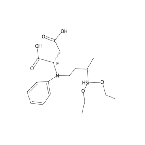 CCO[SiH](OCC)C(C)CCN(c1ccccc1)[C@@H](CC(=O)O)C(=O)O